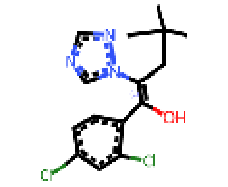 CC(C)(C)C/C(=C(\O)c1ccc(Cl)cc1Cl)n1cncn1